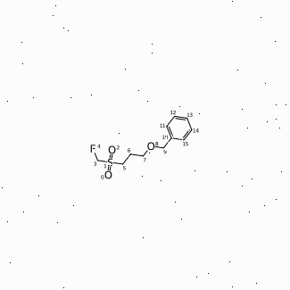 O=S(=O)(CF)CCCOCc1ccccc1